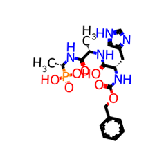 C[C@H](NC(=O)[C@H](Cc1c[nH]cn1)NC(=O)OCc1ccccc1)C(=O)N[C@@H](C)P(=O)(O)O